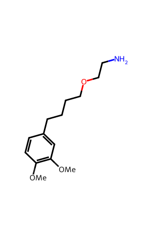 COc1ccc(CCCCOCCN)cc1OC